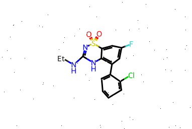 CCNC1=NS(=O)(=O)c2cc(F)cc(-c3ccccc3Cl)c2N1